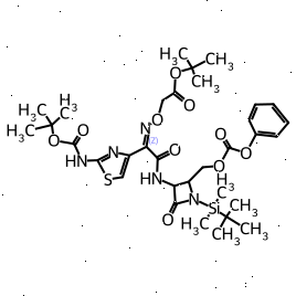 CC(C)(C)OC(=O)CO/N=C(\C(=O)NC1C(=O)N([Si](C)(C)C(C)(C)C)C1COC(=O)Oc1ccccc1)c1csc(NC(=O)OC(C)(C)C)n1